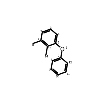 Cc1cccc(Oc2ccccc2)c1C